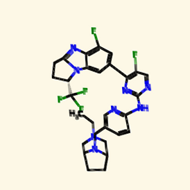 CCN1CC2CCC(C1)N2Cc1ccc(Nc2ncc(F)c(-c3cc(F)c4nc5n(c4c3)[C@H](C(F)(F)F)CC5)n2)nc1